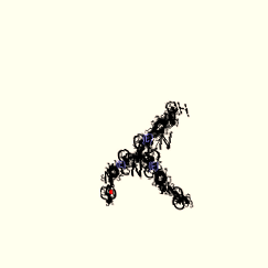 C=CC(=O)OCCN(C)c1ccc(/C=C(\C#N)C(=O)OCC(C)(COC(=O)/C(C#N)=C/c2ccc(N(C)CCO)cc2)COC(=O)/C(C#N)=C/c2ccc(N(C)CCOC(=O)C=C)cc2)cc1